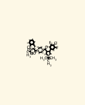 CC(=O)N[C@@H](Cc1ccccc1Cl)C(O)N1CCN(C(=O)C2CN(C(C)(C)C)CC2c2cc(F)c(Cl)c(F)c2)CC1